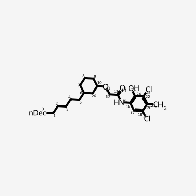 CCCCCCCCCCCCCCCC1CCCC(OCC(=O)Nc2cc(Cl)c(C)c(Cl)c2O)C1